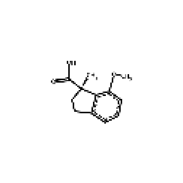 COc1cccc2c1[C@@](C)(C(=O)O)CC2